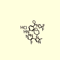 Cc1ncc(-c2nc(Nc3ccc(C(=O)N4CC(F)(F)C4)cc3)ncc2F)n1C1CCOCC1.Cl